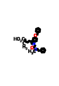 CC(=CC(=O)O)CCc1cn(CC(=O)N(C)CCc2ccccc2)c2ccc(OCc3ccccc3)cc12